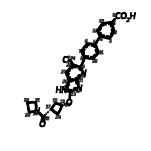 O=C(O)c1ccc(-c2ccc(-c3nc4nc(O[C@H]5C[C@@H](C(=O)N6CCC6)C5)[nH]c4cc3Cl)cc2)cc1